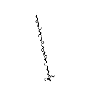 CC(=O)NCCCCOCCOCCOCCOCCOCCOCCOCCI